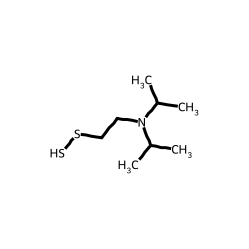 CC(C)N(CCSS)C(C)C